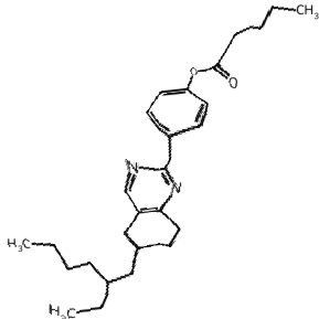 CCCCC(=O)Oc1ccc(-c2ncc3c(n2)CCC(CC(CC)CCCC)C3)cc1